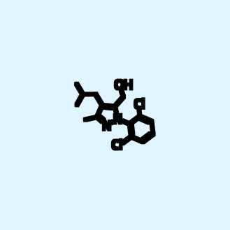 Cc1nn(-c2c(Cl)cccc2Cl)c(CO)c1CC(C)C